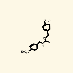 CCOC(=O)c1ccc(CNC(C)NCc2ccc(C(=O)OCC)cc2)cc1